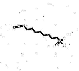 CCS(=O)(=O)CCCCCCCCN=C=S